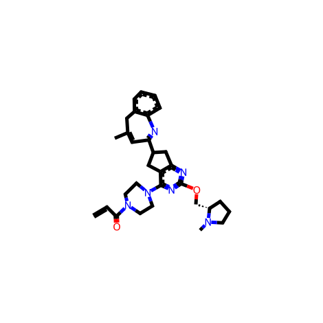 C=CC(=O)N1CCN(c2nc(OC[C@@H]3CCCN3C)nc3c2CC(C2=Nc4ccccc4CC(C)=C2)C3)CC1